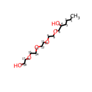 CCCCC(O)COCCOCCOCCOCCO